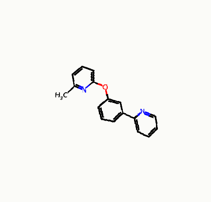 Cc1cccc(Oc2cccc(-c3ccccn3)c2)n1